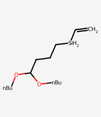 C=C[SiH2]CCCC(OCCCC)OCCCC